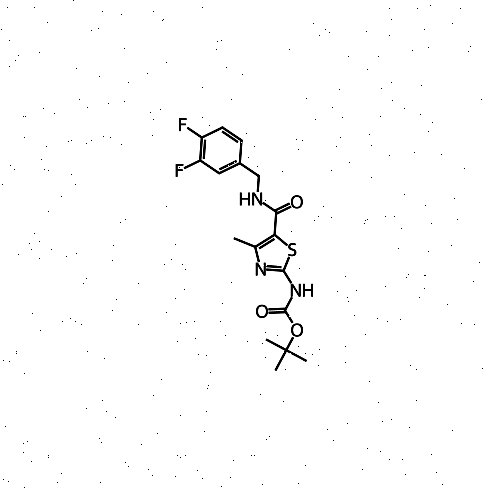 Cc1nc(NC(=O)OC(C)(C)C)sc1C(=O)NCc1ccc(F)c(F)c1